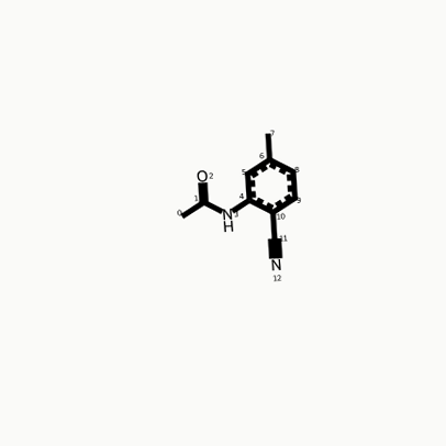 CC(=O)Nc1cc(C)ccc1C#N